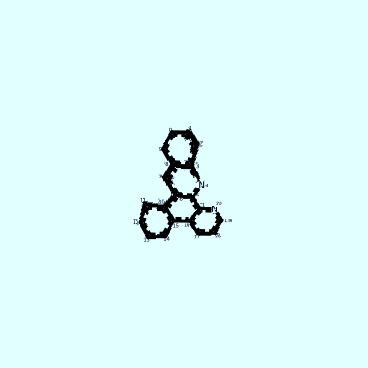 c1ccc2nc3c(cc2c1)c1ccccc1c1cccnc13